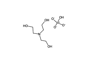 OCCN(CCO)CCO.[O-][I+3]([O-])([O-])O